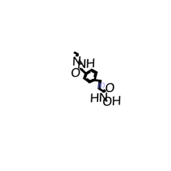 CC=NNC(=O)c1ccc(/C=C/C(=O)NO)cc1